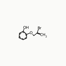 C=C(Br)COc1ccccc1O